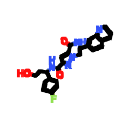 O=C(NC(CCO)c1ccc(F)cc1)c1cc2c(=O)[nH]c(-c3ccc4cccnc4c3)cn2n1